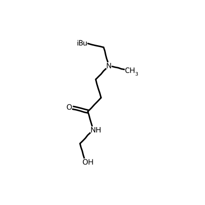 CCC(C)CN(C)CCC(=O)NCO